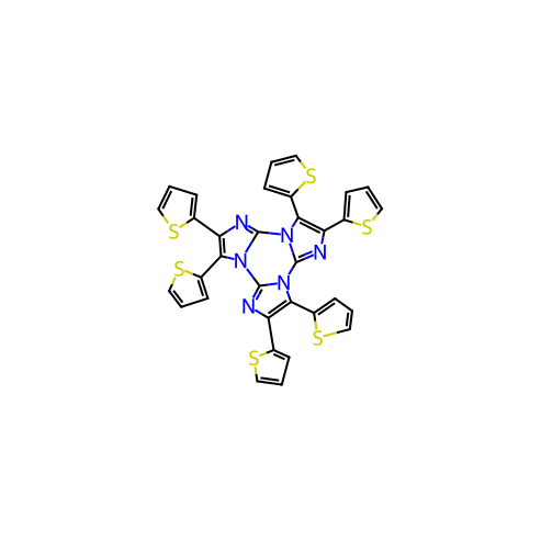 c1csc(-c2nc3n(c2-c2cccs2)c2nc(-c4cccs4)c(-c4cccs4)n2c2nc(-c4cccs4)c(-c4cccs4)n32)c1